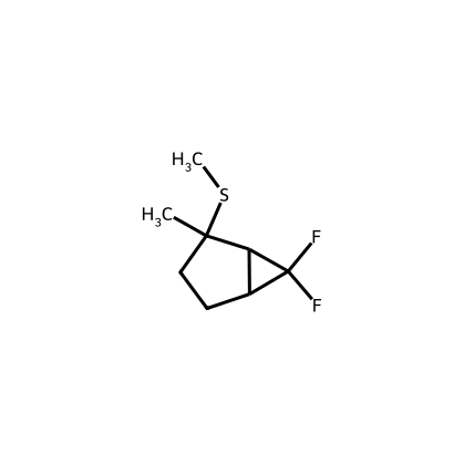 CSC1(C)CCC2C1C2(F)F